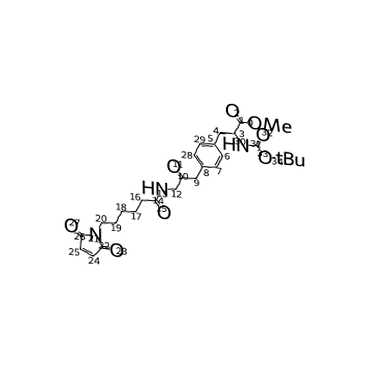 COC(=O)[C@H](Cc1ccc(CC(=O)CNC(=O)CCCCCN2C(=O)C=CC2=O)cc1)NC(=O)OC(C)(C)C